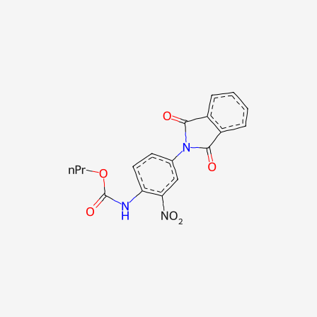 CCCOC(=O)Nc1ccc(N2C(=O)c3ccccc3C2=O)cc1[N+](=O)[O-]